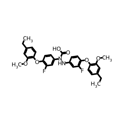 CCc1ccc(Oc2ccc(NN(C(=O)O)c3ccc(Oc4ccc(CC)cc4OC)c(F)c3)cc2F)c(OC)c1